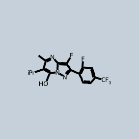 Cc1nc2c(F)c(-c3ccc(C(F)(F)F)cc3F)nn2c(O)c1C(C)C